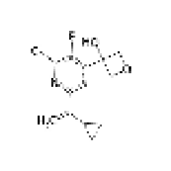 C=C(c1cc(C2(O)COC2)c(F)c(Cl)n1)C1CC1